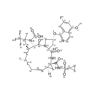 COc1cc(F)cc2c(O[C@@H]3C[C@H]4C(=O)N[C@]5(C(=O)NS(=O)(=O)C6CC6)C[C@H]5/C=C\CC[C@H](C)C[C@@H](C)[C@H](N(C(=O)O)C(C)(C)C(F)(F)F)C(=O)N4C3)nccc12